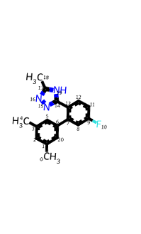 Cc1cc(C)cc(-c2cc(F)ccc2-c2nnc(C)[nH]2)c1